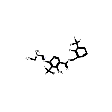 CCN(C)/C=N/c1ccc(C(=O)OCc2cccc(C(F)(F)F)c2F)c(C)c1C(F)(F)F